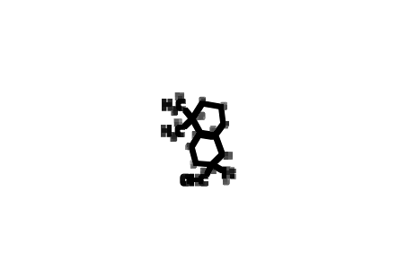 CCC1(C=O)CCC2=C(CCCC2(C)C)C1